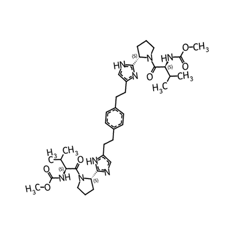 COC(=O)N[C@H](C(=O)N1CCC[C@H]1c1nc(CCc2ccc(CCc3cnc([C@@H]4CCCN4C(=O)[C@@H](NC(=O)OC)C(C)C)[nH]3)cc2)c[nH]1)C(C)C